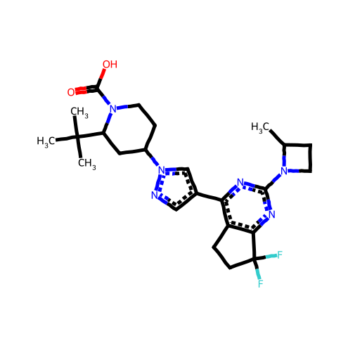 CC1CCN1c1nc(-c2cnn(C3CCN(C(=O)O)C(C(C)(C)C)C3)c2)c2c(n1)C(F)(F)CC2